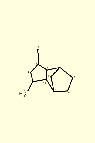 CC1CC(F)C2C3CCC(C3)C12